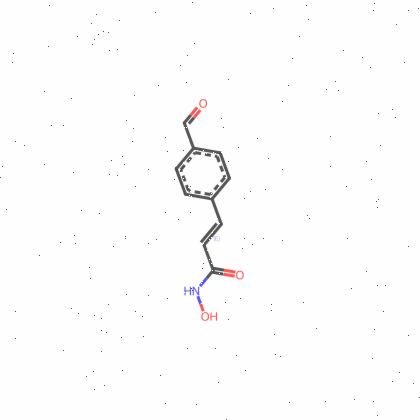 O=Cc1ccc(/C=C/C(=O)NO)cc1